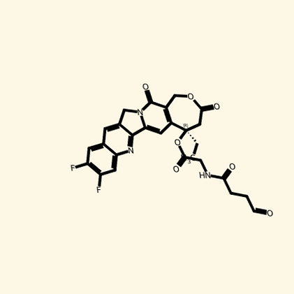 CC[C@@]1(OC(=O)CNC(=O)CCC=O)CC(=O)OCc2c1cc1n(c2=O)Cc2cc3cc(F)c(F)cc3nc2-1